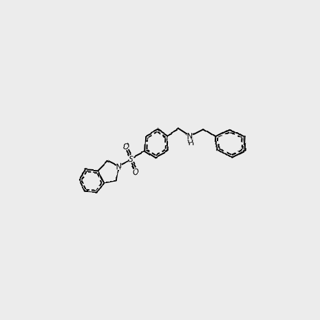 O=S(=O)(c1ccc(CNCc2ccccc2)cc1)N1Cc2ccccc2C1